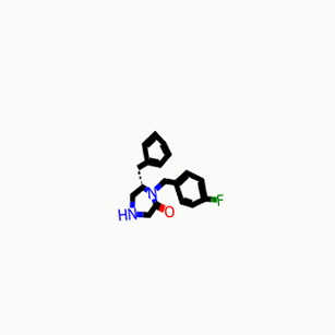 O=C1CNC[C@H](Cc2ccccc2)N1Cc1ccc(F)cc1